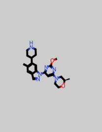 COc1nc(N2CCO[C@H](C)C2)cc(-n2ncc3cc(C)c(C4CCNCC4)cc32)n1